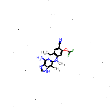 CCc1cc(C#N)c(OC(F)F)cc1N(C)c1nc(N)c2nc[nH]c2c1C